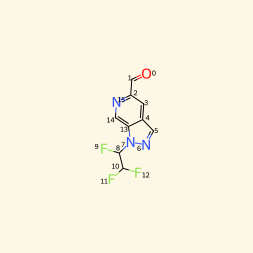 O=Cc1cc2cnn(C(F)C(F)F)c2cn1